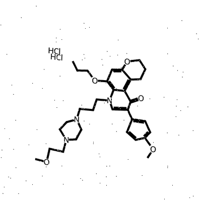 CCCOc1cc2c(c3c(=O)c(-c4ccc(OC)cc4)cn(CCCN4CCN(CCOC)CC4)c13)CCCO2.Cl.Cl